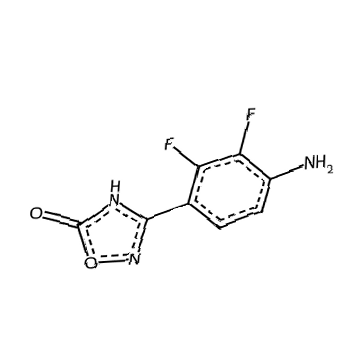 Nc1ccc(-c2noc(=O)[nH]2)c(F)c1F